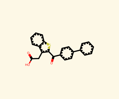 O=C(O)Cc1c(C(=O)c2ccc(-c3ccccc3)cc2)sc2ccccc12